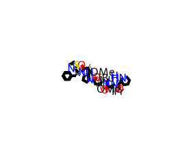 CC[C@H](C)[C@@H]([C@@H](CC(=O)N1CCC[C@H]1[C@H](OC)[C@@H](C)C(=O)N[C@@H](Cc1ccccc1)c1nccs1)OC)N(C)C(=O)[C@@H](NC(=O)[C@]1(C)CCCCN1)C(C)C